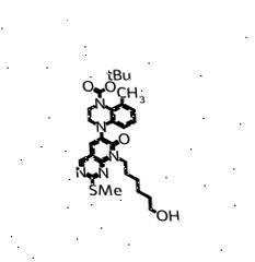 CSc1ncc2cc(N3CCN(C(=O)OC(C)(C)C)c4c(C)cccc43)c(=O)n(CCCCCCO)c2n1